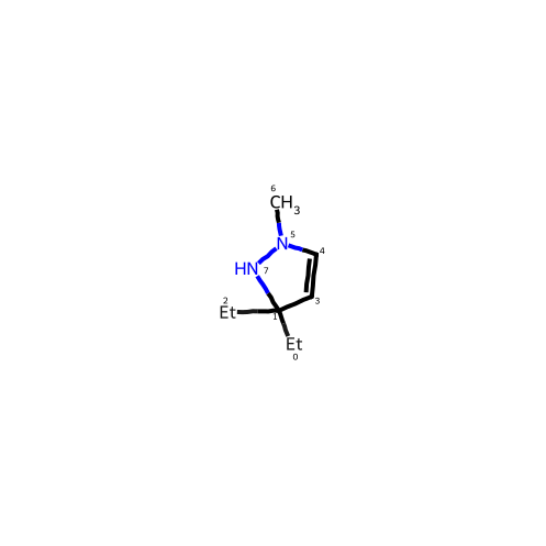 CCC1(CC)C=CN(C)N1